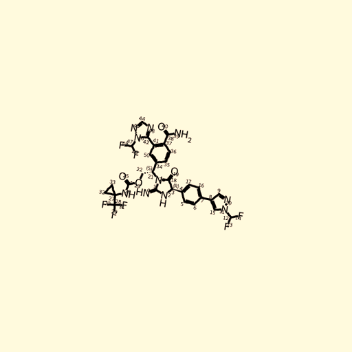 N=C1N[C@H](c2ccc(-c3cnn(C(F)F)c3)cc2)C(=O)N1[C@H](COC(=O)NC1(C(F)(F)F)CC1)c1ccc(C(N)=O)c(-c2ncnn2C(F)F)c1